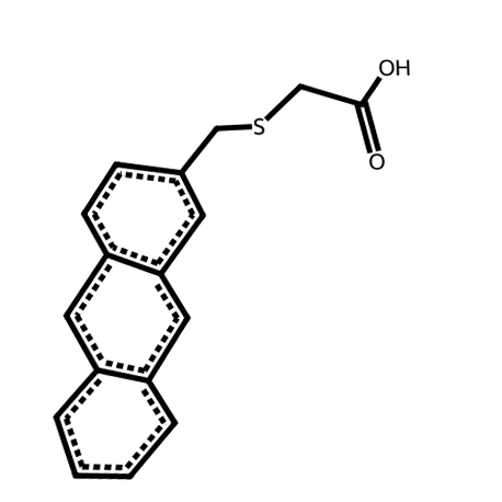 O=C(O)CSCc1ccc2cc3ccccc3cc2c1